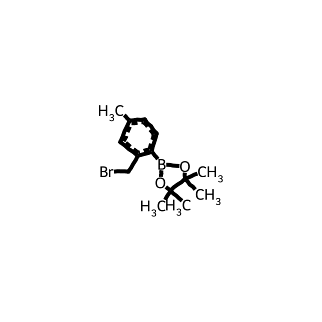 Cc1ccc(B2OC(C)(C)C(C)(C)O2)c(CBr)c1